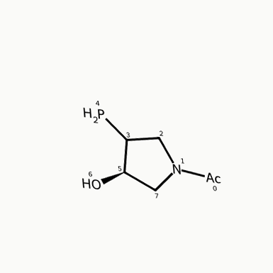 CC(=O)N1CC(P)[C@H](O)C1